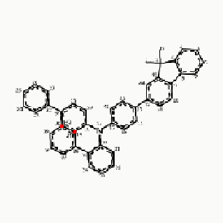 CC1(C)c2ccccc2-c2ccc(-c3ccc(N(c4ccc(-c5ccccc5)cc4)c4ccccc4-c4ccccc4)cc3)cc21